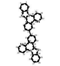 c1ccc2c(c1)nc1c3ccc(-c4ccc5c(c4)c4ncccc4n4c6ccccc6nc54)cc3c3ncccc3n21